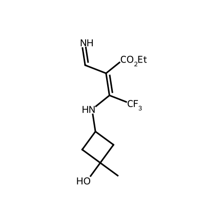 CCOC(=O)/C(C=N)=C(/NC1CC(C)(O)C1)C(F)(F)F